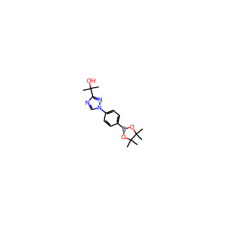 CC(C)(O)c1ncn(-c2ccc(B3OC(C)(C)C(C)(C)O3)cc2)n1